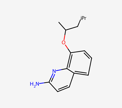 CC(C)CC(C)Oc1cccc2ccc(N)nc12